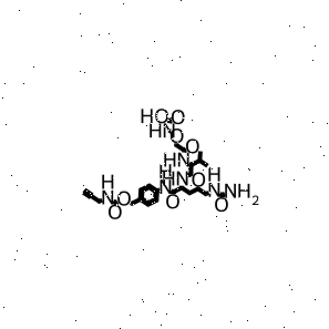 C#CCNC(=O)OCc1ccc(NC(=O)C(CCCNC(N)=O)NC(=O)C(NC(=O)CONC(=O)O)C(C)C)cc1